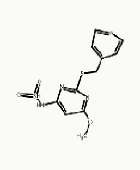 COc1cc(N[SH](=O)=O)nc(SCc2ccncc2)n1